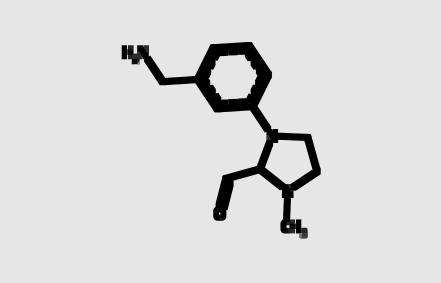 CN1CCN(c2cccc(CN)c2)C1C=O